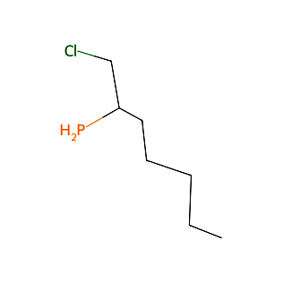 CCCCCC(P)CCl